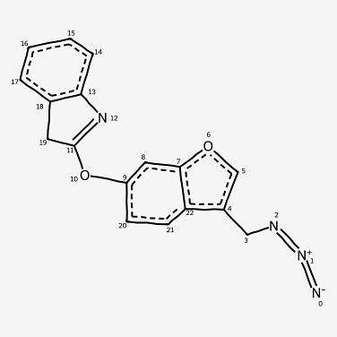 [N-]=[N+]=NCc1coc2cc(OC3=Nc4ccccc4C3)ccc12